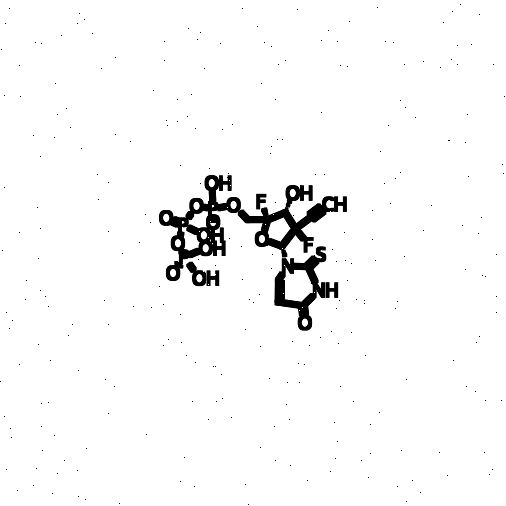 C#CC1(F)[C@@H](O)[C@@](F)(COP(=O)(O)OP(=O)(O)OP(=O)(O)O)O[C@H]1n1ccc(=O)[nH]c1=S